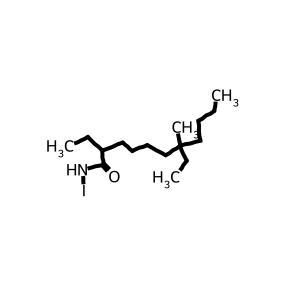 CCCCC(C)(CC)CCCCC(CC)C(=O)NI